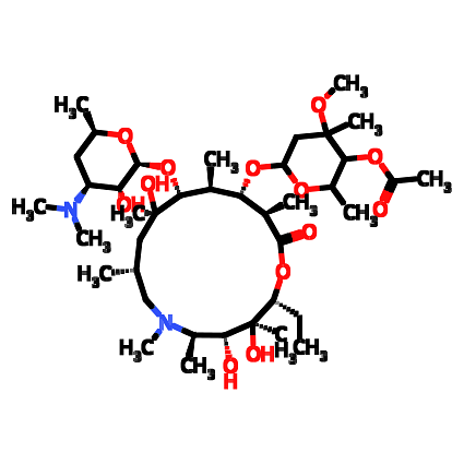 CC[C@H]1OC(=O)[C@H](C)[C@@H](OC2CC(C)(OC)C(OC(C)=O)C(C)O2)[C@H](C)[C@@H](O[C@@H]2O[C@H](C)C[C@H](N(C)C)[C@H]2O)[C@](C)(O)C[C@@H](C)CN(C)[C@H](C)[C@@H](O)[C@]1(C)O